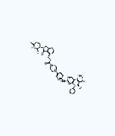 CC(=O)c1c(C)c2cnc(Nc3ccc(N4CCN(C(=O)CCc5cccc6c5C(=O)N(C5CCC(=O)NC5=O)C6)CC4)cn3)nc2n(C2CCCC2)c1=O